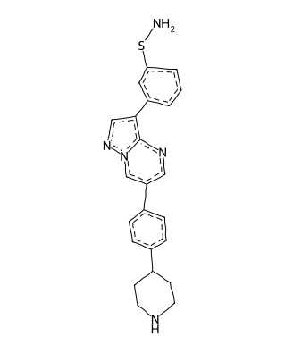 NSc1cccc(-c2cnn3cc(-c4ccc(C5CCNCC5)cc4)cnc23)c1